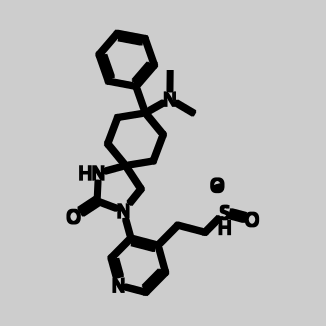 CN(C)C1(c2ccccc2)CCC2(CC1)CN(c1cnccc1CC[SH](=O)=O)C(=O)N2